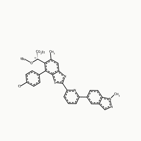 CCOC(=O)[C@@H](OC(C)(C)C)c1c(C)cc2nc(-c3cccc(-c4ccc5c(cnn5C)c4)n3)sc2c1-c1ccc(Cl)cc1